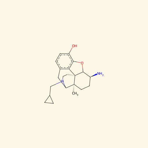 C[C@@]12CC[C@H](N)C3Oc4c(O)ccc5c4[C@@]31CCN(CC1CC1)C2C5